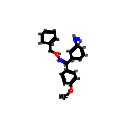 COc1ccc(C(=NOCc2ccccc2)c2cccc(N)c2)cc1